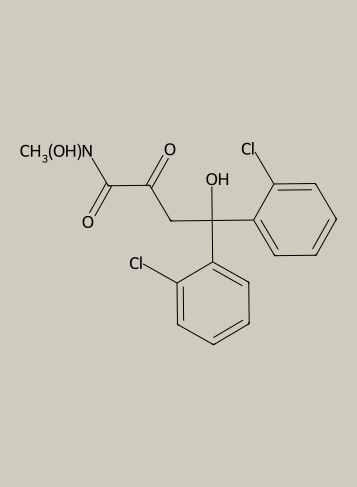 CN(O)C(=O)C(=O)CC(O)(c1ccccc1Cl)c1ccccc1Cl